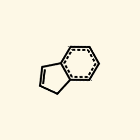 [c]1cc[c]c2c1C=CC2